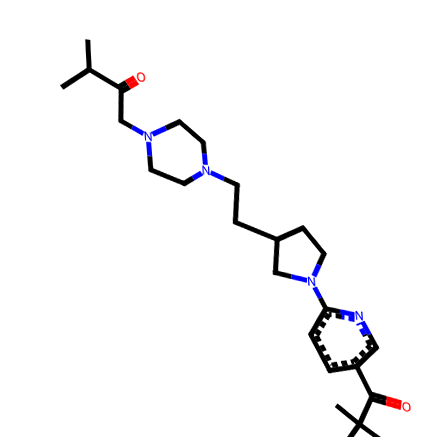 CC(C)C(=O)CN1CCN(CCC2CCN(c3ccc(C(=O)C(C)(C)C)cn3)C2)CC1